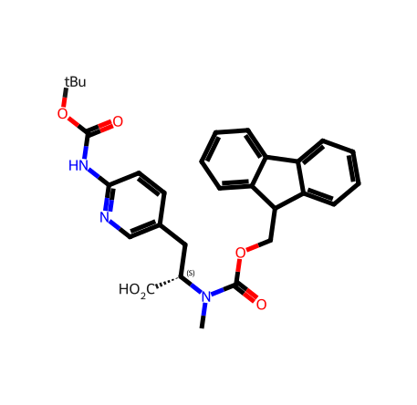 CN(C(=O)OCC1c2ccccc2-c2ccccc21)[C@@H](Cc1ccc(NC(=O)OC(C)(C)C)nc1)C(=O)O